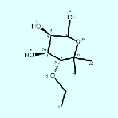 CCO[C@@H]1[C@@H](O)[C@@H](O)C(O)OC1(C)C